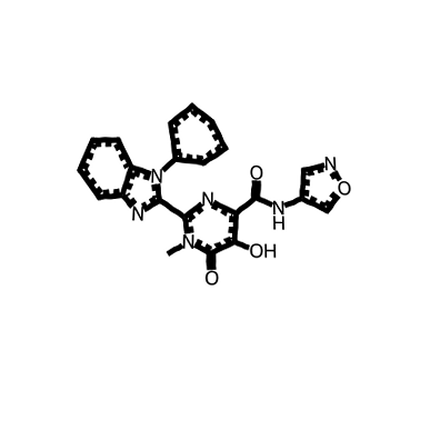 Cn1c(-c2nc3ccccc3n2-c2ccccc2)nc(C(=O)Nc2cnoc2)c(O)c1=O